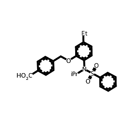 CCc1ccc(N(C(C)C)S(=O)(=O)c2ccccc2)c(OCc2ccc(C(=O)O)cc2)c1